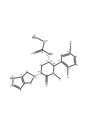 CN1C(=O)[C@H](N2Cc3cn[nH]c3C2)C[C@H](NC(=O)OC(C)(C)C)C1c1cc(F)ccc1F